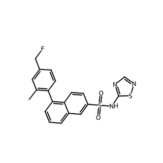 Cc1cc(CF)ccc1-c1cccc2cc(S(=O)(=O)Nc3ncns3)ccc12